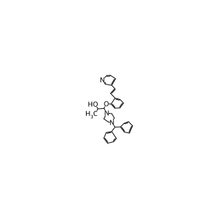 CC(O)C(Oc1ccccc1C=Cc1cccnc1)N1CCN(C(c2ccccc2)c2ccccc2)CC1